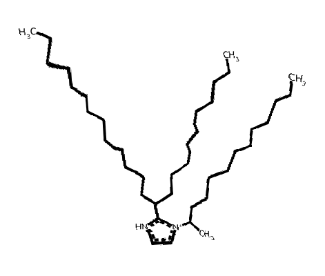 CCCCCCCCCCCCCC(CCCCCCCCCC)c1[nH]cc[n+]1C(C)CCCCCCCCCCC